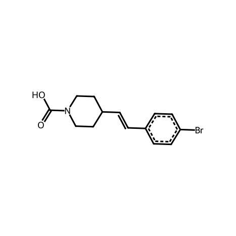 O=C(O)N1CCC(/C=C/c2ccc(Br)cc2)CC1